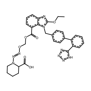 CCOc1nc2cccc(C(=O)OCO/N=N/N3CCCCC3C(=O)O)c2n1Cc1ccc(-c2ccccc2-c2nnn[nH]2)cc1